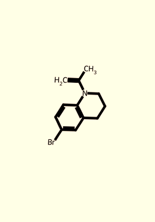 C=C(C)N1CCCc2cc(Br)ccc21